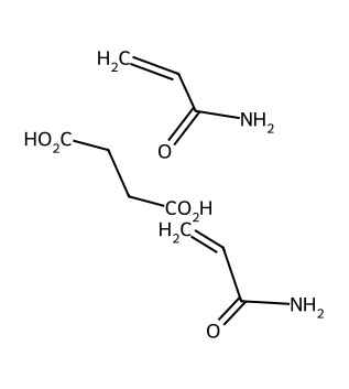 C=CC(N)=O.C=CC(N)=O.O=C(O)CCC(=O)O